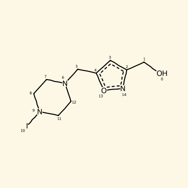 OCc1cc(CN2CCN(I)CC2)on1